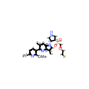 COc1nc(C(C)C)ccc1-c1nc2c(C)cn([C@@H]3CNC[C@@H]3S(=O)(=O)COCCF)c2cc1C